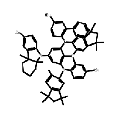 Cc1cc2c(cc1N1c3ccc(C(C)(C)C)cc3B3c4cc5c(cc4N(c4ccc(C(C)(C)C)cc4-c4ccccc4)c4cc(N6c7ccc(C(C)(C)C)cc7C7(C)CCCCC67C)cc1c43)C(C)(C)CC5(C)C)C(C)(C)CC2(C)C